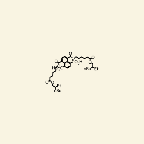 CCCCC(CC)COC(=O)CCCCCOC(=O)c1ccc(C(=O)OCCCCCC(=O)OCC(CC)CCCC)c2c(C(=O)O)ccc(C(=O)O)c12